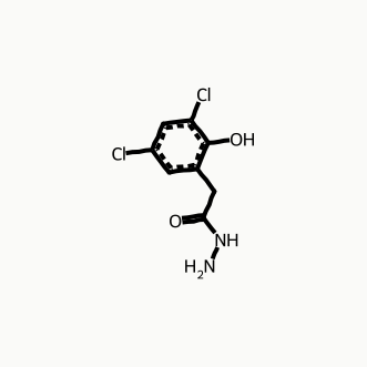 NNC(=O)Cc1cc(Cl)cc(Cl)c1O